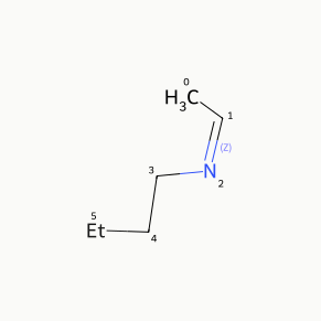 C/C=N\CCCC